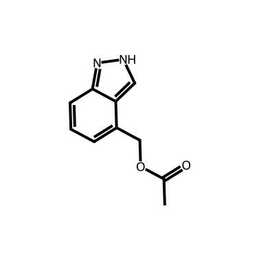 CC(=O)OCc1cccc2n[nH]cc12